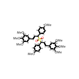 COc1ccc(C(C=Cc2cc(OC)c(OC)c(OC)c2)S(=O)(=O)C(C=Cc2cc(OC)c(OC)c(OC)c2)c2ccc(OC)cc2)cc1